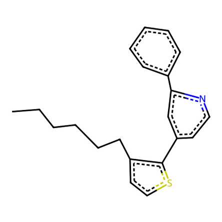 CCCCCCc1ccsc1-c1ccnc(-c2ccccc2)c1